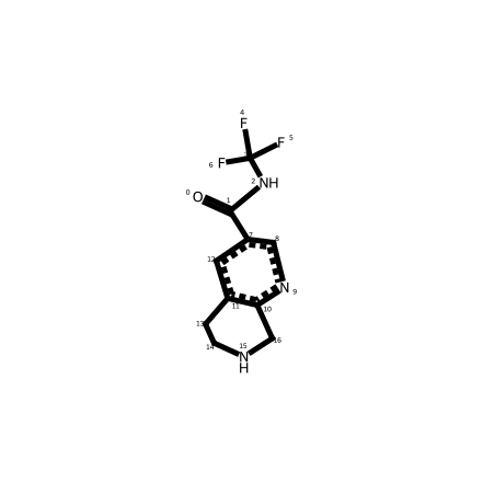 O=C(NC(F)(F)F)c1cnc2c(c1)CCNC2